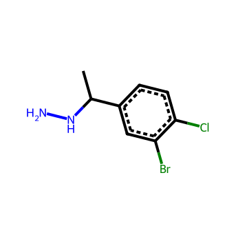 CC(NN)c1ccc(Cl)c(Br)c1